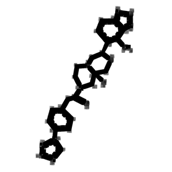 Cc1c([C@@H]2CN3CCN(C(=O)Cc4ccc(-n5cnnn5)cc4)C[C@H]3CO2)ccc2nonc12